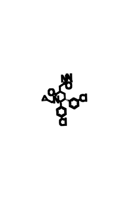 O=C1[C@@H](Cc2nnco2)C[C@H](c2cccc(Cl)c2)[C@@H](c2ccc(Cl)cc2)N1CC1CC1